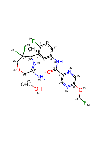 C[C@]1(c2cc(NC(=O)c3cnc(OCF)cn3)ccc2F)N=C(N)COCC1(F)F.O=CO